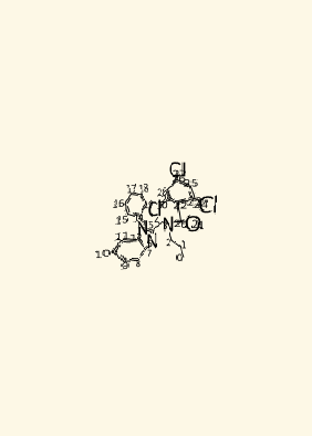 CCCN(Cc1nc2ccccc2n1-c1ccccc1)C(=O)c1c(Cl)cc(Cl)cc1Cl